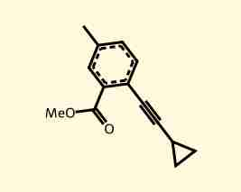 COC(=O)c1cc(C)ccc1C#CC1CC1